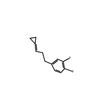 Fc1ccc(CCC=C2CC2)cc1F